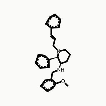 COc1ccccc1CN[C@@H]1CCCN(CC=Cc2ccccc2)[C@@H]1c1ccccc1